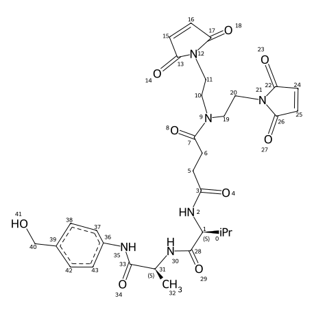 CC(C)[C@H](NC(=O)CCC(=O)N(CCN1C(=O)C=CC1=O)CCN1C(=O)C=CC1=O)C(=O)N[C@@H](C)C(=O)Nc1ccc(CO)cc1